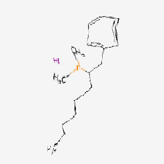 CCCCCCC(Cc1ccccc1)P(C)C.I